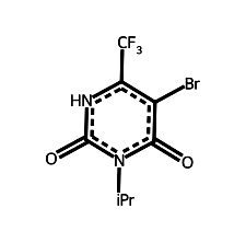 CC(C)n1c(=O)[nH]c(C(F)(F)F)c(Br)c1=O